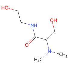 CN(C)C(CO)C(=O)NCCO